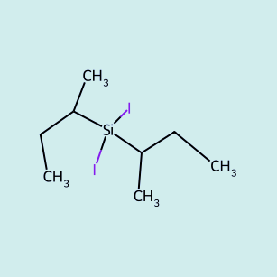 CCC(C)[Si](I)(I)C(C)CC